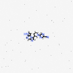 N#Cc1cnc(N2CCCC(c3cnc4cnc5[nH]ccc5n34)C2)cn1